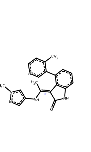 C/C(Nc1cnn(C)c1)=C1/C(=O)Nc2cccc(-c3cnccc3C)c21